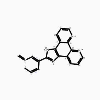 C=N/C=C(\C=C/C)c1nc2c3cccnc3c3ncccc3c2[nH]1